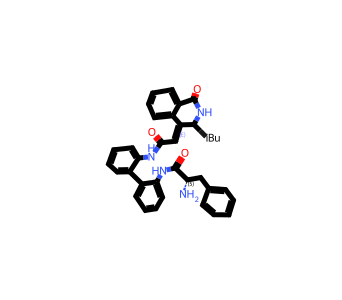 CCC(C)C1NC(=O)c2ccccc2/C1=C\C(=O)Nc1ccccc1-c1ccccc1NC(=O)[C@@H](N)Cc1ccccc1